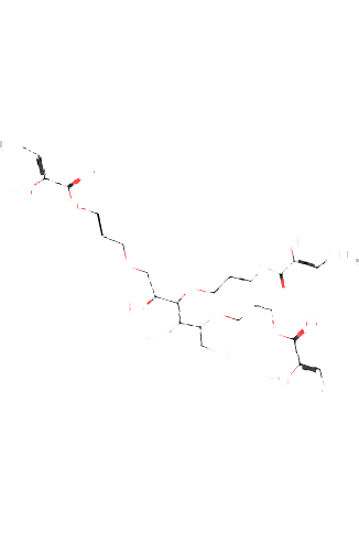 CC=C(O)C(=O)OCCCOCC(O)C(OCCCOC(=O)C(O)=CC)C(O)C(CO)OCCCOC(=O)C(O)=CC